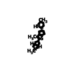 Cc1c(C2C[C@@H]3CN(C)C[C@@H]3C2)sc2ccc([C@H]3CC[C@H](C)CN3)cc12